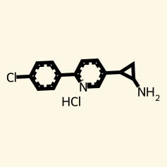 Cl.NC1CC1c1ccc(-c2ccc(Cl)cc2)nc1